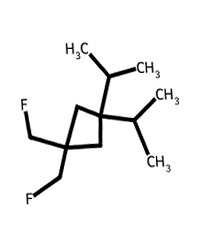 CC(C)C1(C(C)C)CC(CF)(CF)C1